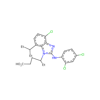 CCC(CC)c1ccc(Cl)c2nc(Nc3ccc(Cl)cc3Cl)n(C(CC)CCC(=O)O)c12